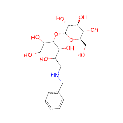 OCC(O)C(O[C@H]1O[C@H](CO)[C@@H](O)[C@H](O)[C@H]1O)C(O)C(O)CNCc1ccccc1